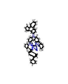 c1ccc(-c2ccc(-c3nc(-n4c5ccccc5c5ccc6c(c7ccccc7n6-c6ccc7c8ccccc8c8ccccc8c7c6)c54)nc4ccccc34)cc2)cc1